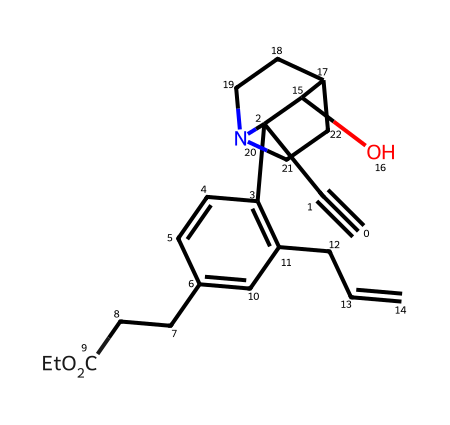 C#CC1(c2ccc(CCC(=O)OCC)cc2CC=C)C(O)C2CCN1CC2